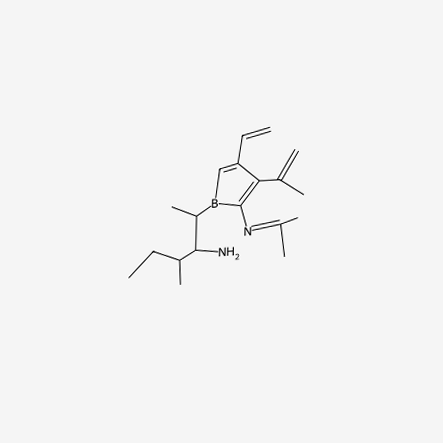 C=CC1=CB(C(C)C(N)C(C)CC)C(N=C(C)C)=C1C(=C)C